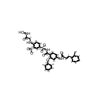 Cc1ccccc1C=CC(=O)Nc1ccc(C(=O)NS(=O)(=O)c2ccc(NCC(=O)NO)c([N+](=O)[O-])c2)c(Oc2ccccc2)c1